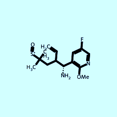 C=CC(CC(C)(C)[S+]=O)[C@@H](N)c1cc(F)cnc1OC